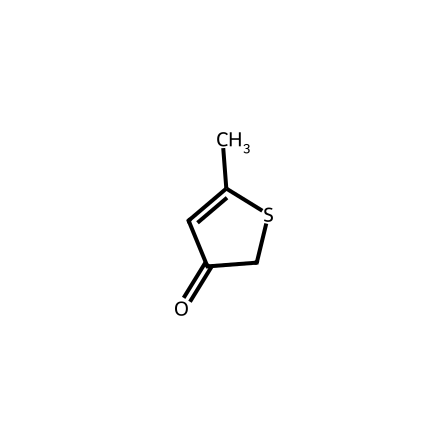 CC1=CC(=O)CS1